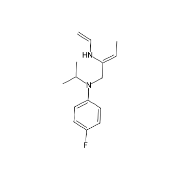 C=CN/C(=C\C)CN(c1ccc(F)cc1)C(C)C